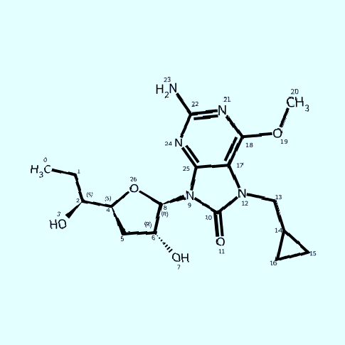 CC[C@H](O)[C@@H]1C[C@@H](O)[C@H](n2c(=O)n(CC3CC3)c3c(OC)nc(N)nc32)O1